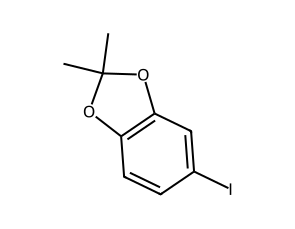 CC1(C)Oc2ccc(I)cc2O1